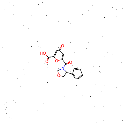 O=C(O)c1cc(=O)cc(C(=O)N2COC[C@@H]2c2ccccc2)o1